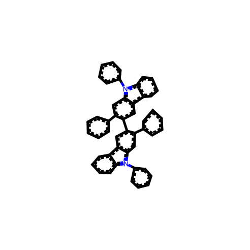 c1ccc(-c2cc3c(cc2-c2cc4c5ccccc5n(-c5ccccc5)c4cc2-c2ccccc2)c2ccccc2n3-c2ccccc2)cc1